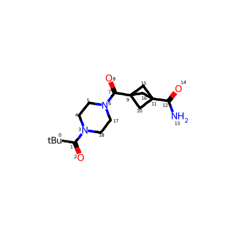 CC(C)(C)C(=O)N1CCN(C(=O)C23CC(C(N)=O)(C2)C3)CC1